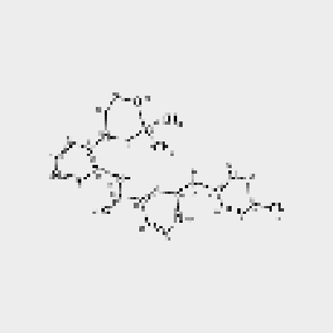 CC1(C)CN(c2ccncc2NC(=O)c2ccnc(Nc3ccc(C#N)cn3)c2)CCO1